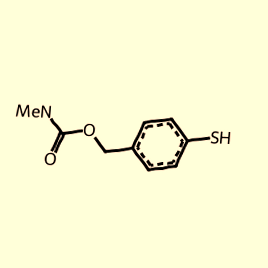 CNC(=O)OCc1ccc(S)cc1